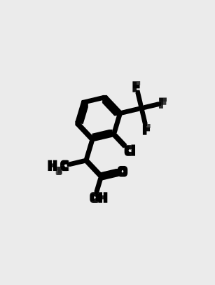 CC(C(=O)O)c1cccc(C(F)(F)F)c1Cl